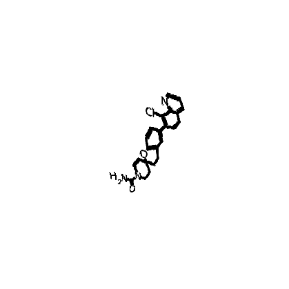 NC(=O)N1CCC2(CCc3cc(-c4ccc5cccnc5c4Cl)ccc3O2)CC1